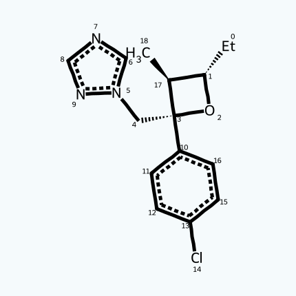 CC[C@@H]1O[C@@](Cn2cncn2)(c2ccc(Cl)cc2)[C@H]1C